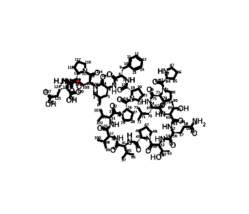 CC(C)C[C@H](NC(=O)[C@H](Cc1ccccc1)NC(=O)[C@@H]1CCCN1C(=O)[C@@H]1CCCN1C(=O)[C@@H](NC(=O)[C@@H](NC(=O)[C@@H](NC(=O)[C@@H]1CCCN1C(=O)[C@@H](NC(=O)[C@H](CCC(N)=O)NC(=O)[C@@H](NC(=O)[C@H](CC(C)C)NC(=O)[C@@H]1CCCN1C(=O)[C@@H]1CCCN1)[C@@H](C)O)[C@@H](C)O)C(C)C)C(C)C)C(C)C)C(=O)N[C@@H](CCC(N)=O)C(=O)N1CCC[C@H]1C(=O)N[C@@H](CCC(=O)O)C(=O)O